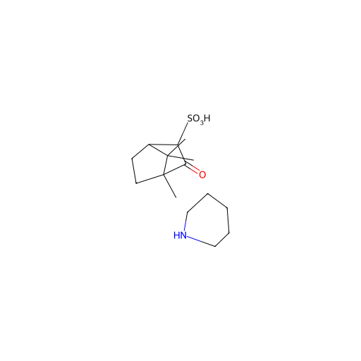 C1CCNCC1.CC12CCC(C(S(=O)(=O)O)C1=O)C2(C)C